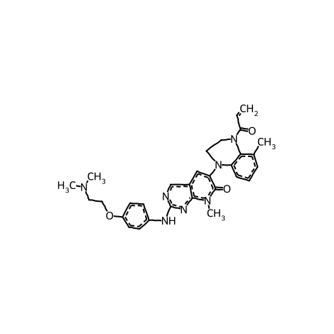 C=CC(=O)N1CCN(c2cc3cnc(Nc4ccc(OCCN(C)C)cc4)nc3n(C)c2=O)c2cccc(C)c21